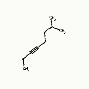 CCC#CCCC(C)C